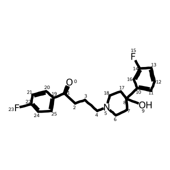 O=C(CCCN1CCC(O)(c2cccc(F)c2)CC1)c1ccc(F)cc1